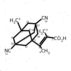 CC(C(=O)O)=C(C)C12CC3(C)CC(C#N)(CC(C#N)(C3)C1)C2